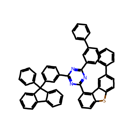 c1ccc(-c2cccc(-c3nc(-c4cccc(C5(c6ccccc6)c6ccccc6-c6ccccc65)c4)nc(-c4cccc5sc6ccc(-c7ccccc7)cc6c45)n3)c2)cc1